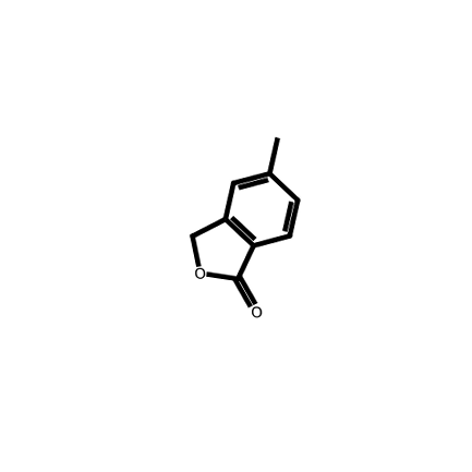 Cc1ccc2c(c1)COC2=O